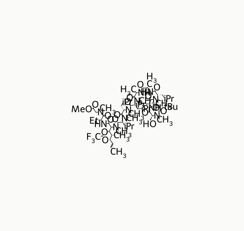 C/C=C/C[C@@H](C)[C@@H](OC(=O)C(F)(F)F)[C@@H](C(=O)N[C@@H](CC)C(=O)N(C)CC(=O)OC)N(C)C(=O)[C@H](C(C)C)N(C)C(=O)[C@H](CC(C)C)N(C)C(=O)[C@H](CC(C)C)N(C)C(=O)[C@H](C)NC(=O)[C@@H](C)NC(=O)[C@H](CC(C)C)N(C)C(=O)[C@@H](NC(=O)[C@H](CO)N(C)C(=O)OC(C)(C)C)C(C)C